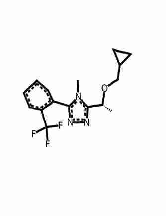 C[C@@H](OCC1CC1)c1nnc(-c2ccccc2C(F)(F)F)n1C